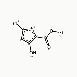 CCOC(=O)c1sc(Cl)cc1O